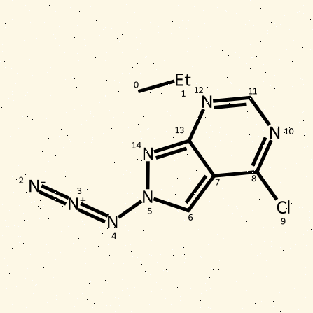 CCC.[N-]=[N+]=Nn1cc2c(Cl)ncnc2n1